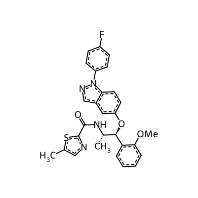 COc1ccccc1[C@H](Oc1ccc2c(cnn2-c2ccc(F)cc2)c1)[C@H](C)NC(=O)c1ncc(C)s1